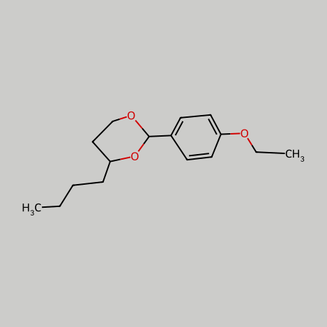 CCCCC1CCOC(c2ccc(OCC)cc2)O1